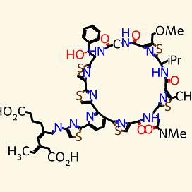 C\C=C(/C=C(\C=N\c1csc(-c2ccc3c(n2)-c2csc(n2)-c2csc(n2)[C@H]([C@@H](O)c2ccccc2)NC(=O)CNC(=O)c2nc(sc2COC)C(C(C)C)NC(=O)c2nc(sc2C)[C@H](CC(=O)NC)NC(=O)c2csc-3n2)n1)CCCC(=O)O)CC(=O)O